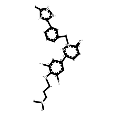 Cc1nc(-c2cccc(Cn3nc(-c4cc(F)c(OCCCN(C)C)c(F)c4)ccc3=O)c2)no1